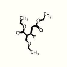 CCOC=C(C(=O)OCC)C(F)=CC(=O)OCC